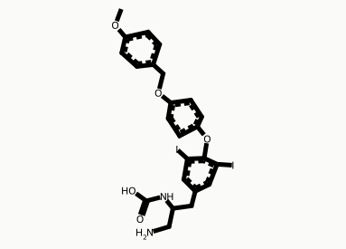 COc1ccc(COc2ccc(Oc3c(I)cc(CC(CN)NC(=O)O)cc3I)cc2)cc1